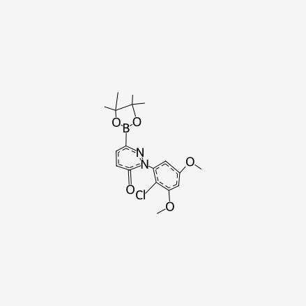 COc1cc(OC)c(Cl)c(-n2nc(B3OC(C)(C)C(C)(C)O3)ccc2=O)c1